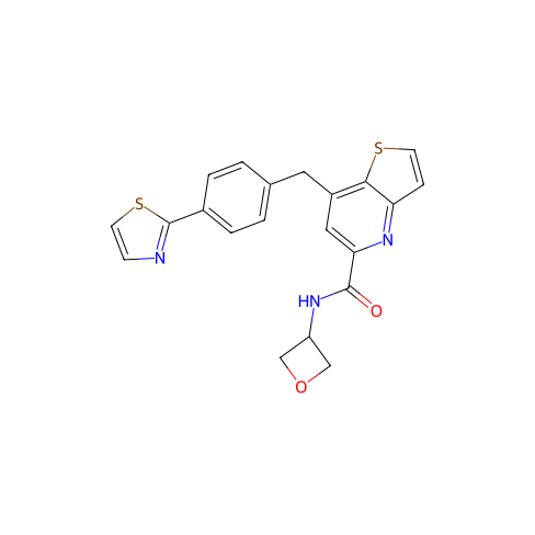 O=C(NC1COC1)c1cc(Cc2ccc(-c3nccs3)cc2)c2sccc2n1